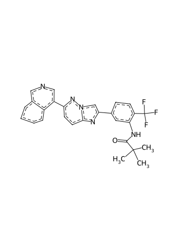 CC(C)(C)C(=O)Nc1cc(-c2cn3nc(-c4cncc5ccccc45)ccc3n2)ccc1C(F)(F)F